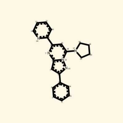 c1ccc(-c2cc3nc(-c4ccccn4)cc(N4CCCC4)n3n2)cc1